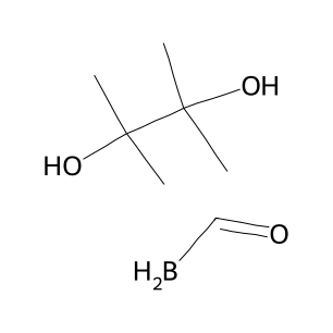 BC=O.CC(C)(O)C(C)(C)O